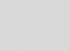 O=Cc1sc([AsH]Cc2ccncc2)nc1Cl